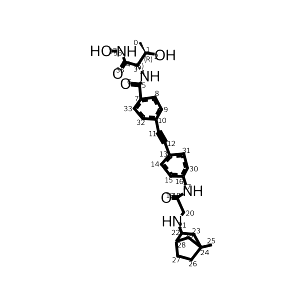 C[C@@H](O)[C@H](NC(=O)c1ccc(C#Cc2ccc(NC(=O)CNC3CC4(C)CCC3C4)cc2)cc1)C(=O)NO